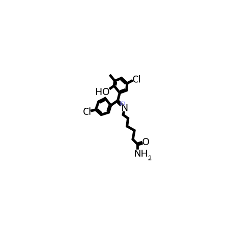 Cc1cc(Cl)cc(/C(=N/CCCCCC(N)=O)c2ccc(Cl)cc2)c1O